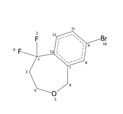 FC1(F)CCOCc2cc(Br)ccc21